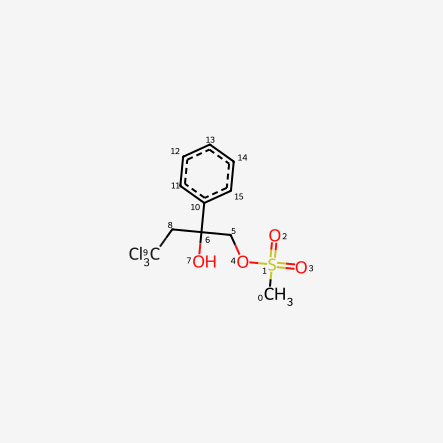 CS(=O)(=O)OCC(O)(CC(Cl)(Cl)Cl)c1ccccc1